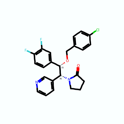 O=C1CCCN1[C@H](c1cccnc1)[C@@H](OCc1ccc(Cl)cc1)c1ccc(F)c(F)c1